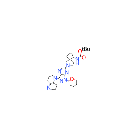 CC(C)(C)OC(=O)NC1CCCC12CCN(c1cnc3c(N4CCCc5ncccc54)nn(C4CCCCO4)c3n1)C2